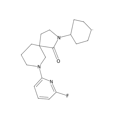 O=C1N(C2CC[CH]CC2)CCC12CCCN(c1cccc(F)n1)C2